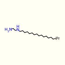 CC(C)CCCCCCCCCCCCCCCNCCN